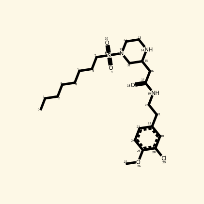 CCCCCCCCS(=O)(=O)N1CCNC(CC(=O)NCCc2ccc(OC)c(Cl)c2)C1